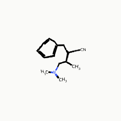 CC(CN(C)C)C(C#N)Cc1ccccc1